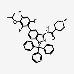 CC(C)Oc1c(F)cc(F)c(-c2ccc3c(c2)c(NC(=O)C2CCN(C)CC2)nn3C(c2ccccc2)(c2ccccc2)c2ccccc2)c1F